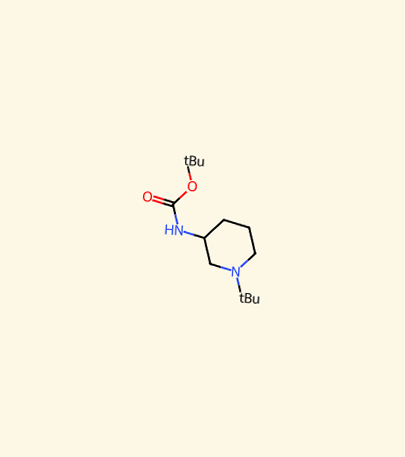 CC(C)(C)OC(=O)NC1CCCN(C(C)(C)C)C1